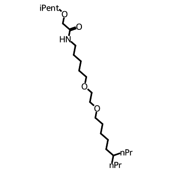 CCCC(CCC)CCCCCOCCOCCCCCNC(=O)COC(C)CCC